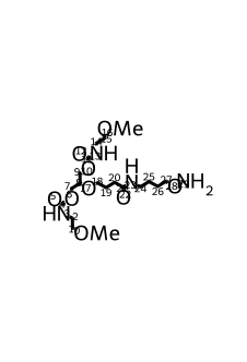 COCCNC(=O)OCC(COC(=O)NCCOC)OCCCC(=O)NCCCCON